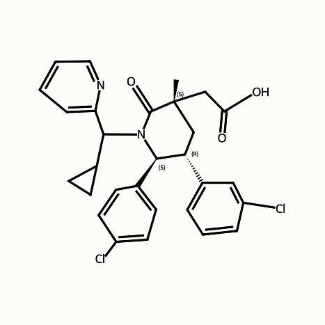 C[C@@]1(CC(=O)O)C[C@H](c2cccc(Cl)c2)[C@@H](c2ccc(Cl)cc2)N(C(c2ccccn2)C2CC2)C1=O